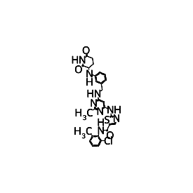 Cc1nc(NCc2cccc(NC3CCC(=O)NC3=O)c2)cc(Nc2ncc(C(=O)Nc3c(C)cccc3Cl)s2)n1